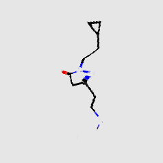 O=C(O)NCCC1=NN(CCC2CC2)C(=O)C1